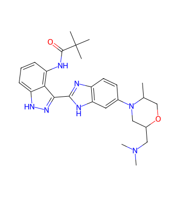 CC1COC(CN(C)C)CN1c1ccc2nc(-c3n[nH]c4cccc(NC(=O)C(C)(C)C)c34)[nH]c2c1